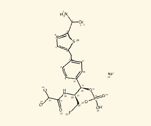 CC(N)c1ncc(-c2ccc([C@@H](OP(=O)([O-])O)[C@@H](CF)NC(=O)C(Cl)Cl)cc2)s1.[Na+]